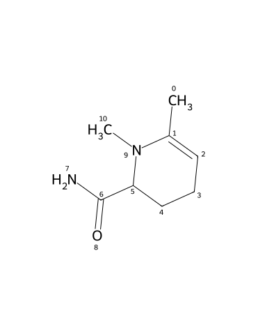 CC1=CCCC(C(N)=O)N1C